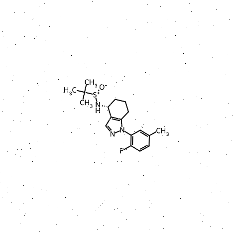 Cc1ccc(F)c(-n2ncc3c2CCC[C@H]3N[S@@+]([O-])C(C)(C)C)c1